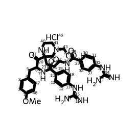 COc1ccc(CC(NC(=O)c2ccc(NC(=N)N)cc2)C(=O)C2(CCCNC(=O)c3ccc(NC(=N)N)cc3)NCCN(CC(=O)O)C2=O)cc1.Cl